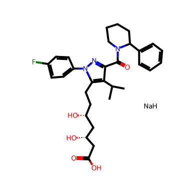 CC(C)c1c(C(=O)N2CCCCC2c2ccccc2)nn(-c2ccc(F)cc2)c1CC[C@@H](O)C[C@@H](O)CC(=O)O.[NaH]